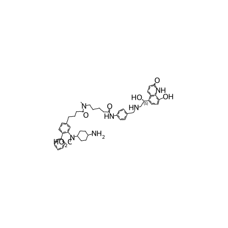 CN(CCCCC(=O)Nc1ccc(CNC[C@@H](O)c2ccc(O)c3[nH]c(=O)ccc23)cc1)C(=O)CCCc1ccc(-c2ccccc2)c(N(C(=O)O)C2CCC(N)CC2)c1